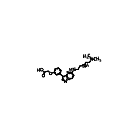 CN(C)CCNCCNc1ccn2ncc(-c3cccc(OCC(=O)O)c3)c2n1